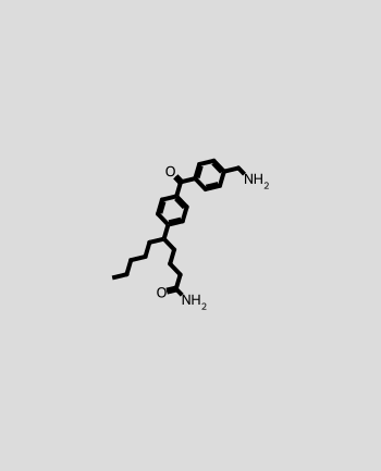 CCCCCC(CCCC(N)=O)c1ccc(C(=O)c2ccc(CN)cc2)cc1